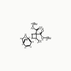 CCC1CCC1(C(=O)OC(C)(C)C)C(=O)OC(C)(C)C.c1cc2cc(c1)OC2